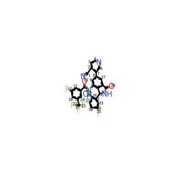 N#Cc1ccncc1-c1cc(NC(=O)c2cc(F)cc(C(F)(F)F)c2)c2c(c1)C(=O)NC2c1cc(F)ccc1Cl